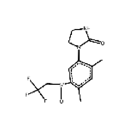 Cc1cc(C)c([S+]([O-])CC(F)(F)F)cc1N1CCNC1=O